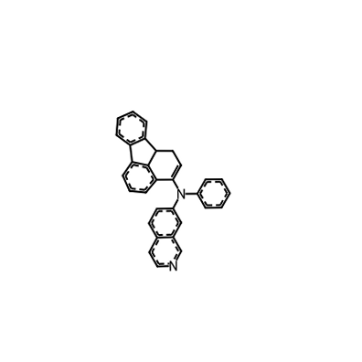 C1=C(N(c2ccccc2)c2ccc3ccncc3c2)c2cccc3c2C(C1)c1ccccc1-3